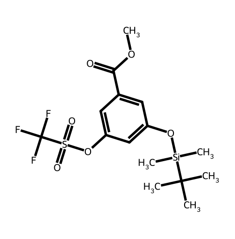 COC(=O)c1cc(O[Si](C)(C)C(C)(C)C)cc(OS(=O)(=O)C(F)(F)F)c1